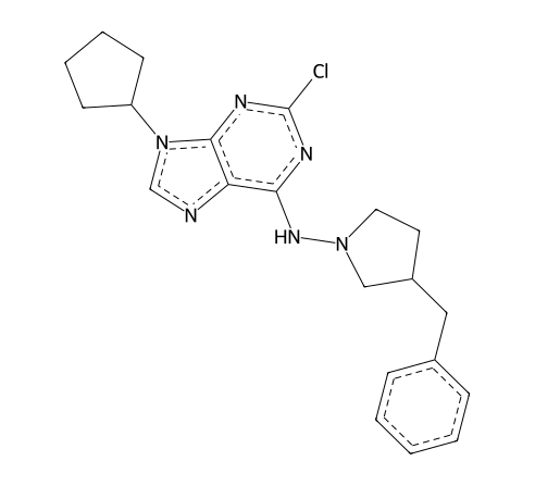 Clc1nc(NN2CCC(Cc3ccccc3)C2)c2ncn(C3CCCC3)c2n1